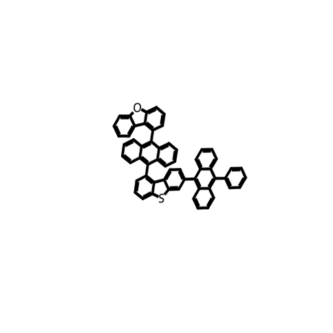 c1ccc(-c2c3ccccc3c(-c3ccc4c(c3)sc3cccc(-c5c6ccccc6c(-c6cccc7oc8ccccc8c67)c6ccccc56)c34)c3ccccc23)cc1